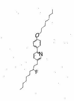 CCCCCCCCOc1ccc(-c2ccc(CCC(F)CCCCCCC)cn2)cc1